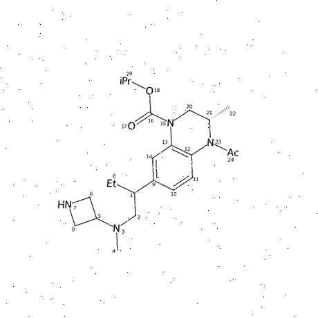 CCC(CN(C)C1CNC1)c1ccc2c(c1)N(C(=O)OC(C)C)C[C@H](C)N2C(C)=O